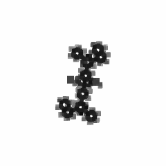 CCC(CC)(c1ccc(-c2cc(-c3cccc4c3C=CCC4)nc(-c3ccccc3)n2)cc1)c1ccc(-c2cc(-c3cccc4ccccc34)nc(-c3ccccc3)n2)cc1